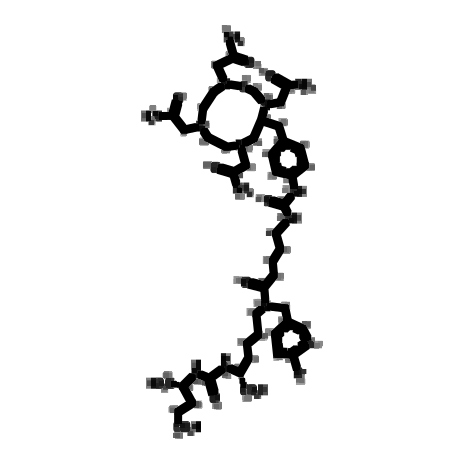 NC(=O)CN1CCN(CC(N)=O)CCN(CC(N)=O)C(Cc2ccc(NC(=S)NCCCCC(=O)N(CCCC[C@@H](NC(=O)N[C@H](CCC(=O)O)C(=O)O)C(=O)O)Cc3ccc(Br)nc3)cc2)CN(CC(N)=O)CC1